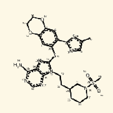 Cc1cnc(-c2cc3c(cc2Sc2nc4c(N)ncnc4n2CCC2CCCN(S(C)(=O)=O)C2)OCCO3)s1